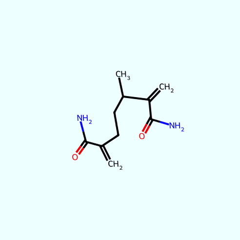 C=C(CCC(C)C(=C)C(N)=O)C(N)=O